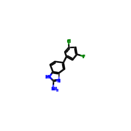 Nc1nc2cc(-c3cc(F)cc(Cl)c3)ccc2[nH]1